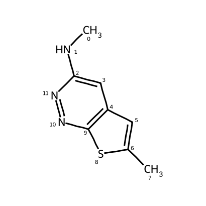 CNc1cc2cc(C)sc2nn1